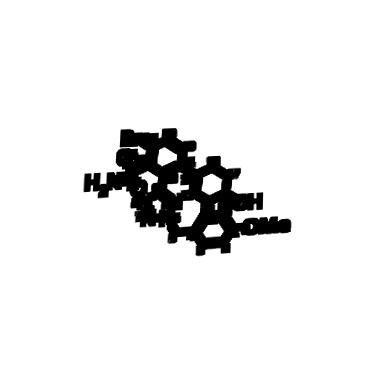 COc1ccc(Cn2nnc(-c3c(C4=CCC(O)CC4)ccc(Br)c3S(N)(=O)=O)n2)cc1